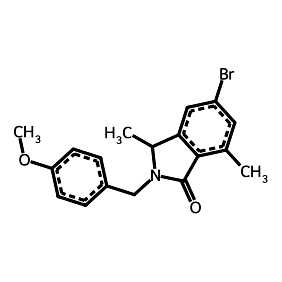 COc1ccc(CN2C(=O)c3c(C)cc(Br)cc3C2C)cc1